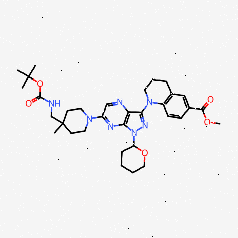 COC(=O)c1ccc2c(c1)CCCN2c1nn(C2CCCCO2)c2nc(N3CCC(C)(CNC(=O)OC(C)(C)C)CC3)cnc12